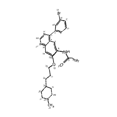 CCCC(=O)Nc1cc2c(-c3cccc(Br)c3)ncnc2cc1OCCCC1CCN(C)CC1